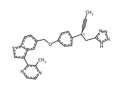 CC#C[C@@H](Cc1nnn[nH]1)c1ccc(OCc2ccc3scc(-c4nccnc4C)c3c2)cc1